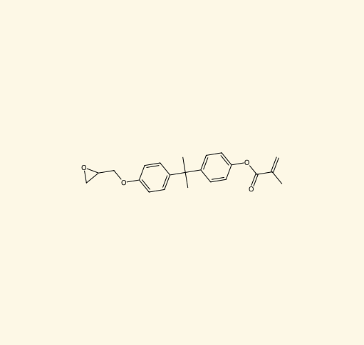 C=C(C)C(=O)Oc1ccc(C(C)(C)c2ccc(OCC3CO3)cc2)cc1